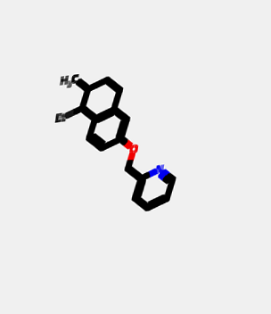 CCC1c2ccc(OCc3ccccn3)cc2CCC1C